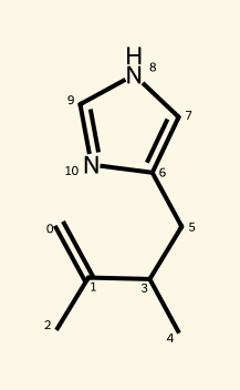 C=C(C)C(C)Cc1c[nH]cn1